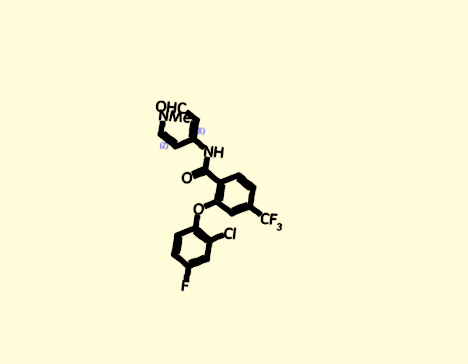 CN/C=C\C(=C/C=O)NC(=O)c1ccc(C(F)(F)F)cc1Oc1ccc(F)cc1Cl